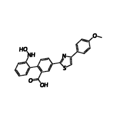 COc1ccc(-c2csc(-c3ccc(-c4ccccc4NO)c(C(=O)O)c3)n2)cc1